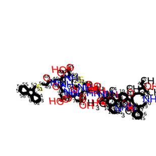 CCC(O)(CC)C[C@@H]1CC[C@](C(=O)OC)(c2cc3c(cc2OC)N(C)[C@H]2[C@@](O)(C(=O)NNC(=O)OCCSSC[C@H](NC(=O)[C@H](CNC(=O)CCSCC4c5ccccc5-c5ccccc54)NC(=O)[C@H](CC(=O)O)NC(=O)[C@H](CC(=O)O)NC(=O)[C@H](CC(=O)O)NC(C)=O)C(=O)O)[C@H](O)[C@]4(CC)C=CCN5CC[C@]32[C@@H]54)c2[nH]c3ccccc3c2CCNC1